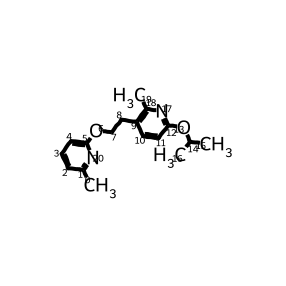 Cc1cccc(OCCc2ccc(OC(C)C)nc2C)n1